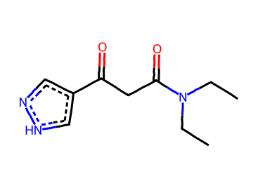 CCN(CC)C(=O)CC(=O)c1cn[nH]c1